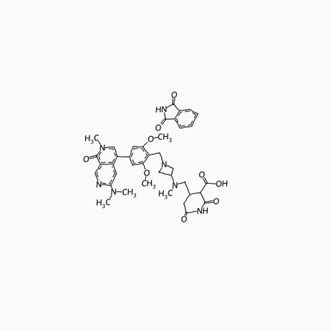 COc1cc(-c2cn(C)c(=O)c3cnc(N(C)C)cc23)cc(OC)c1CN1CC(N(C)CC2CC(=O)NC(=O)C2C(=O)O)C1.O=C1NC(=O)c2ccccc21